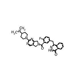 CN(C)C1CCN(c2ncc3c(n2)CN(C(=O)c2cc(Cc4n[nH]c(=O)c5ccccc45)ccc2F)C3)CC1